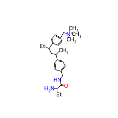 CCC(CC(C)c1ccc(CNC(=O)[C@@H](N)CC)cc1)c1ccc(C[N+](C)(C)C)cc1